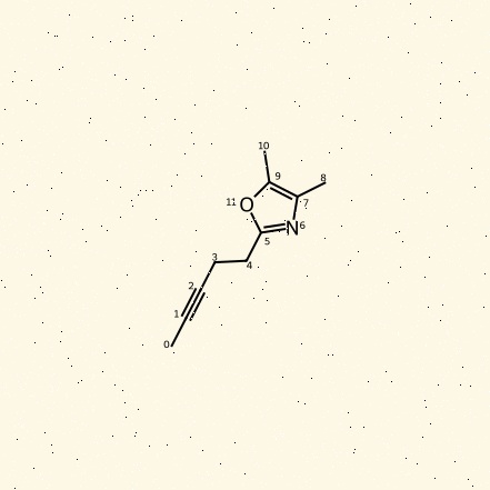 CC#CCCc1nc(C)c(C)o1